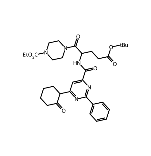 CCOC(=O)N1CCN(C(=O)C(CCC(=O)OC(C)(C)C)NC(=O)c2cc(C3CCCCC3=O)nc(-c3ccccc3)n2)CC1